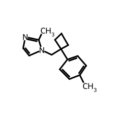 Cc1ccc(C2(Cn3ccnc3C)CCC2)cc1